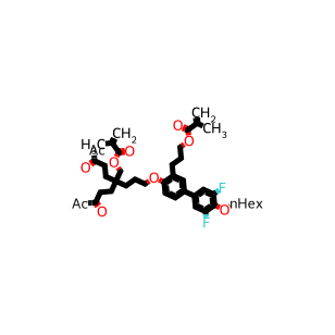 C=C(C)C(=O)OCCCc1cc(-c2cc(F)c(OCCCCCC)c(F)c2)ccc1OCCCC(CCC(=O)C(C)=O)(CCC(=O)C(C)=O)COC(=O)C(=C)C